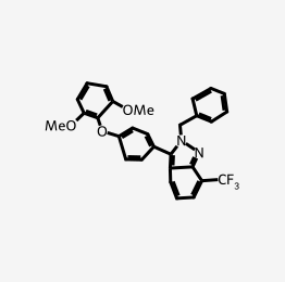 COc1cccc(OC)c1Oc1ccc(-c2c3cccc(C(F)(F)F)c3nn2Cc2ccccc2)cc1